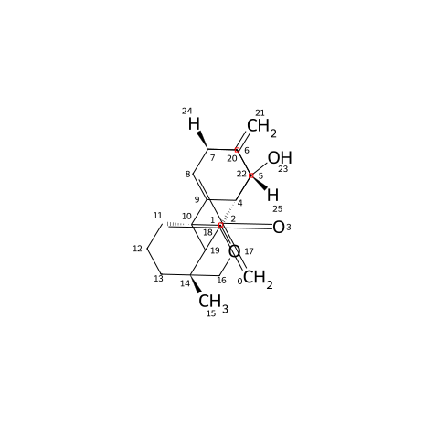 C=C1C(=O)[C@@]23CC[C@@H](CC2[C@@]24CCC[C@@](C)(COC2)C14)C(=C)[C@@H]3O